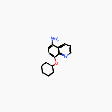 Nc1ccc(OC2CCCCC2)c2ncccc12